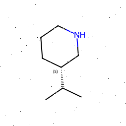 CC(C)[C@@H]1CCCNC1